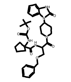 CC(C)(C)OC(=O)NC1(C(=O)NC(COCc2ccccc2)C(=O)N2CCC(n3c(=O)[nH]c4ccccc43)CC2)CCCC1